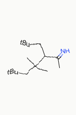 CC(=N)C(CC(C)(C)C)C(C)(C)CC(C)(C)C